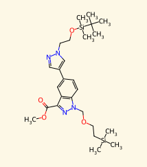 COC(=O)c1nn(COCC[Si](C)(C)C)c2ccc(-c3cnn(CCO[Si](C)(C)C(C)(C)C)c3)cc12